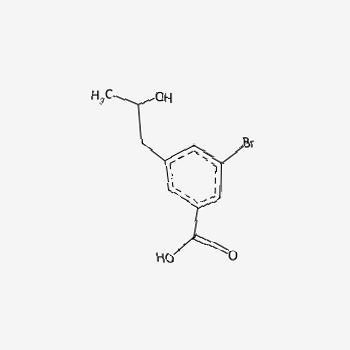 CC(O)Cc1cc(Br)cc(C(=O)O)c1